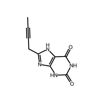 CC#CCc1nc2[nH]c(=O)[nH]c(=O)c2[nH]1